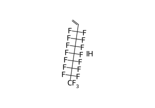 C=CC(F)(F)C(F)(F)C(F)(F)C(F)(F)C(F)(F)C(F)(F)C(F)(F)C(F)(F)F.I